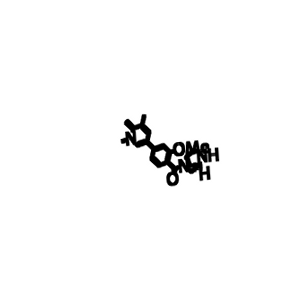 C=C1C(C)=CC(c2ccc(C(=O)N3C[C@@H]4CC3CN4)c(OC)c2)=CN1C